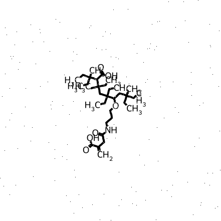 C=C(CC(=O)NCCCOC(CC(C)(CC)CC)C(CC)(CC)CC(CC)(CC)C(C(=O)O)C(C)(CC)CC)C(=O)O